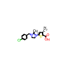 C=C1N(Cc2ccc(Cl)cc2)CCN1c1cc(C)c(C(=O)O)s1